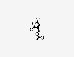 CC(=O)OCC1=CC(=O)OC1=O